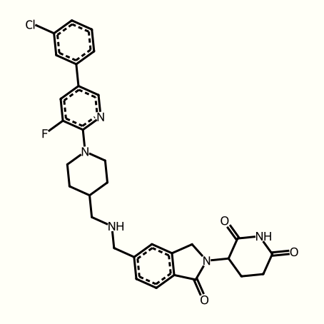 O=C1CCC(N2Cc3cc(CNCC4CCN(c5ncc(-c6cccc(Cl)c6)cc5F)CC4)ccc3C2=O)C(=O)N1